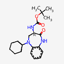 CC(C)(C)OC(=O)N[C@@H]1CN(C2CCCCC2)c2ccccc2NC1=O